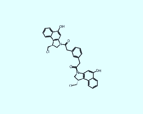 O=C(Cc1cccc(CC(=O)N2C[C@@H](CCl)c3c2cc(O)c2ccccc32)c1)N1C[C@@H](CCl)c2c1cc(O)c1ccccc21